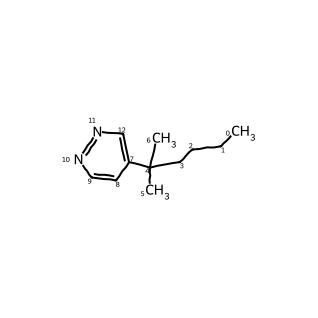 CCCCC(C)(C)c1ccnnc1